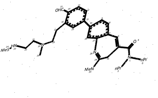 CCCN(CCC)C(=O)C1=Cc2ccc(-c3ccc(C=O)c(CCN(C)CCNSC)c3)cc2N=C(NC)C1